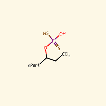 CCCCCC(CC(Cl)(Cl)Cl)OP(O)(=S)S